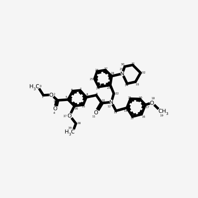 CCOC(=O)c1ccc(CC(=O)N(Cc2ccc(OC)cc2)Cc2ccccc2N2CCCCC2)cc1OCC